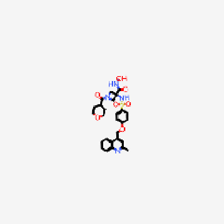 Cc1cc(COc2ccc(S(=O)(=O)NC3(C(=O)NO)CN(C(=O)C4CCOCC4)C3)cc2)c2ccccc2n1